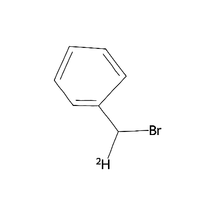 [2H]C(Br)c1ccccc1